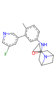 Cc1ccc(NC(=O)N2C3CC2CC2(CC2)C3)cc1-c1cncc(F)c1